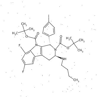 CCCCN[C@H]1Cc2c(n(C(=O)OC(C)(C)C)c3c(F)cc(F)cc23)[C@H](c2ccc(I)cc2)N1C(=O)OC(C)(C)C